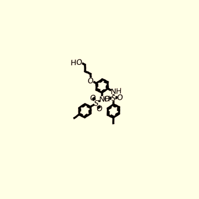 Cc1ccc(S(=O)(=O)Nc2ccc(OCCCO)cc2NS(=O)(=O)c2ccc(C)cc2)cc1